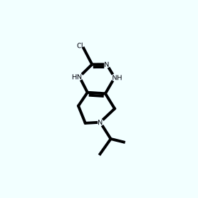 CC(C)N1CCC2=C(C1)NN=C(Cl)N2